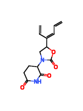 C=C/C=C(\C=C)C1CN(C2CCC(=O)NC2=O)C(=O)O1